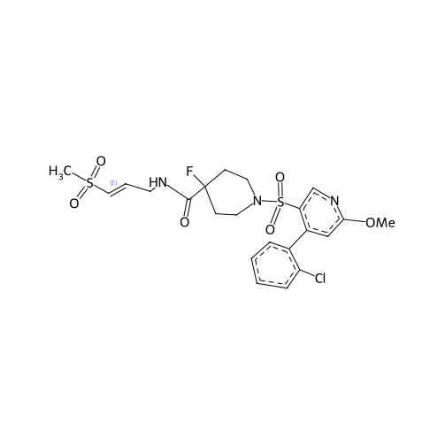 COc1cc(-c2ccccc2Cl)c(S(=O)(=O)N2CCC(F)(C(=O)NC/C=C/S(C)(=O)=O)CC2)cn1